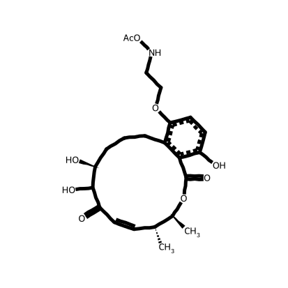 CC(=O)ONCCOc1ccc(O)c2c1CCC[C@H](O)C(O)C(=O)/C=C\[C@@H](C)[C@H](C)OC2=O